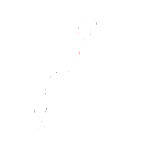 CSC(=O)OCC(COC(=O)NC(C)COC(C)(C)CCOC(=O)Oc1ccc([N+](=O)[O-])cc1)OC(=O)SC